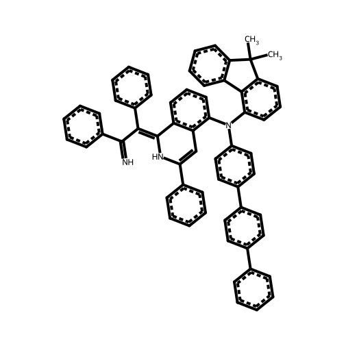 CC1(C)c2ccccc2-c2c(N(c3ccc(-c4ccc(-c5ccccc5)cc4)cc3)c3cccc4c3C=C(c3ccccc3)N/C4=C(\C(=N)c3ccccc3)c3ccccc3)cccc21